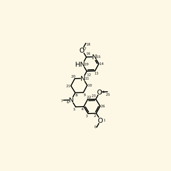 COc1cc(CN(C)C2CCN(C3=CC=NC(OC)N3)CC2)cc(OC)c1